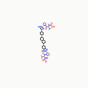 COC(=O)N[C@H](C(=O)N1CCCC1c1nc2cc(-c3ccc4cc(-c5ccc(-c6c[nH]c([C@@H]7CCCN7C(=O)[C@H](C(C)C)N(C)C(=O)O)n6)cc5)ccc4c3)ccc2[nH]1)C(C)C